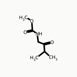 COC(=O)NCC(=O)C(C)C